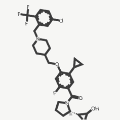 O=C(c1cc(C2CC2)c(OCC2CCN(Cc3cc(Cl)ccc3C(F)(F)F)CC2)cc1F)N1CCC[C@H]1C1OC1O